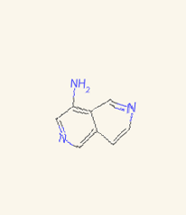 Nc1cncc2ccncc12